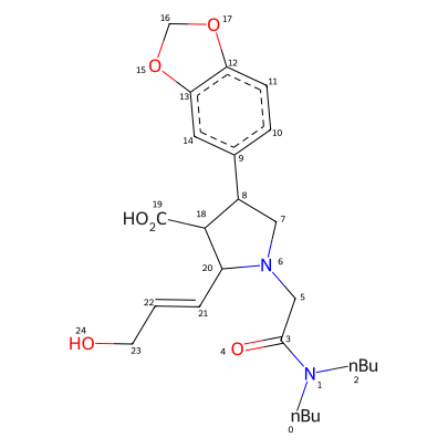 CCCCN(CCCC)C(=O)CN1CC(c2ccc3c(c2)OCO3)C(C(=O)O)C1C=CCO